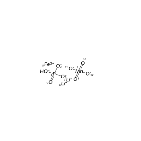 O=P([O-])([O-])O.[Fe+2].[Li+].[Li+].[O]=[Mn](=[O])([O-])[O-]